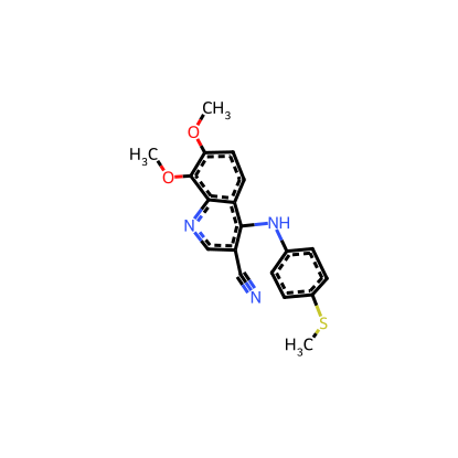 COc1ccc2c(Nc3ccc(SC)cc3)c(C#N)cnc2c1OC